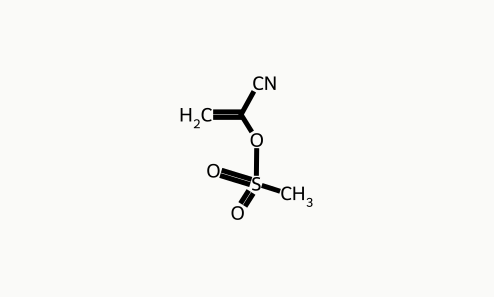 C=C(C#N)OS(C)(=O)=O